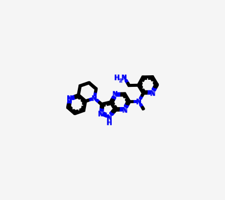 CN(c1cnc2c(N3CCCc4ncccc43)n[nH]c2n1)c1ncccc1CN